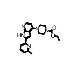 CCOC(=O)N1CCN(c2ccnc3[nH]c(-c4cccc(C)n4)cc23)CC1